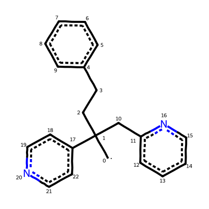 [CH2]C(CCc1ccccc1)(Cc1ccccn1)c1ccncc1